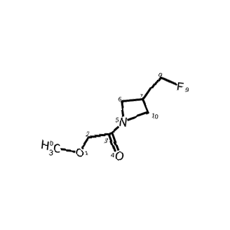 COCC(=O)N1CC(CF)C1